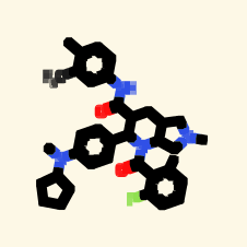 Cc1ccc(NC(=O)C2CC3CN(C)CC3N(C(=O)c3c(C)cccc3F)C2c2ccc(N(C)C3CCCC3)cc2)cc1C(F)(F)F